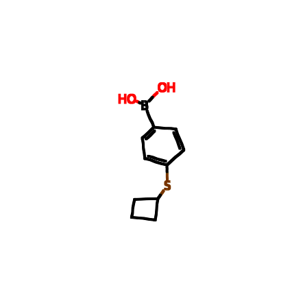 OB(O)c1ccc(SC2CCC2)cc1